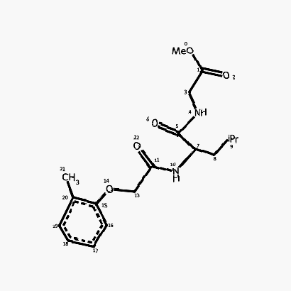 COC(=O)CNC(=O)C(CC(C)C)NC(=O)COc1ccccc1C